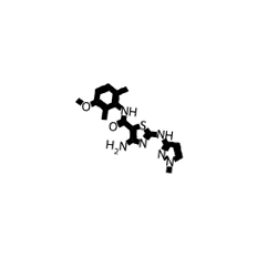 COc1ccc(C)c(NC(=O)c2sc(Nc3ccn(C)n3)nc2N)c1C